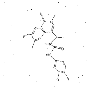 CC(c1cn(C)c(=O)c2cc(F)c(F)cc12)N(C)C(=O)Nc1ccc(F)c(Cl)c1